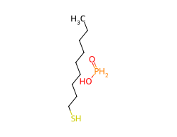 CCCCCCCCCS.O=[PH2]O